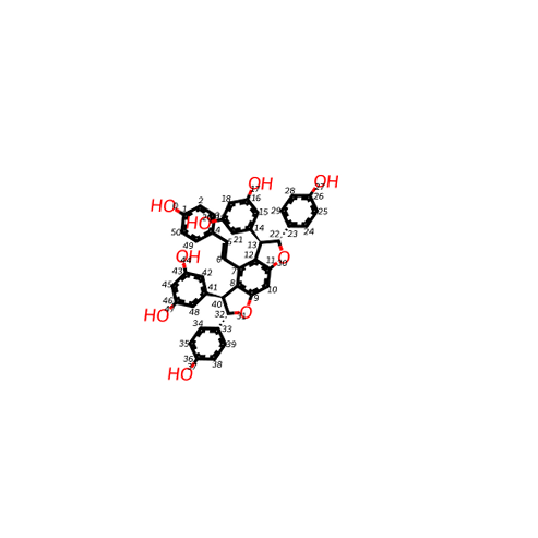 Oc1ccc(/C=C/c2c3c(cc4c2[C@@H](c2cc(O)cc(O)c2)[C@H](c2ccc(O)cc2)O4)O[C@H](c2ccc(O)cc2)[C@H]3c2cc(O)cc(O)c2)cc1